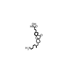 C=C(/C=C\C=C/N)CN1CCC2(CC1)CC(=O)c1cc(/C=C/C(=O)NO)ccc1O2